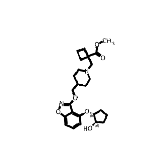 COC(=O)C1(CN2CCC(COc3noc4cccc(O[C@@H]5CCC[C@H]5O)c34)CC2)CCC1